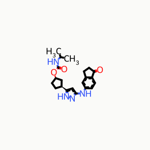 CC(C)NC(=O)O[C@@H]1CC[C@H](c2cc(Nc3ccc4c(c3)CCC4=O)n[nH]2)C1